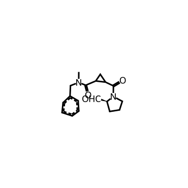 CN(Cc1ccccc1)C(=O)C1CC1C(=O)N1CCC[C@H]1C=O